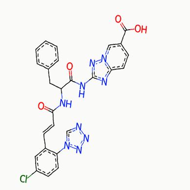 O=C(C=Cc1cc(Cl)ccc1-n1cnnn1)NC(Cc1ccccc1)C(=O)Nc1nc2ccc(C(=O)O)cn2n1